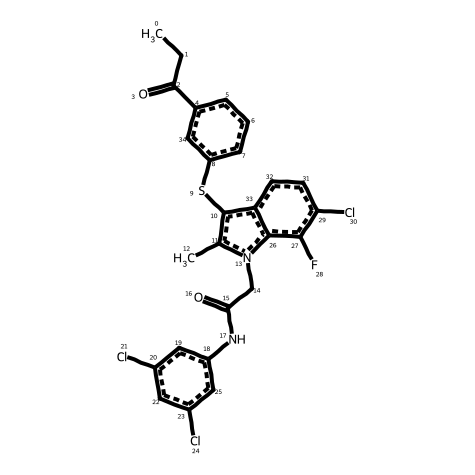 CCC(=O)c1cccc(Sc2c(C)n(CC(=O)Nc3cc(Cl)cc(Cl)c3)c3c(F)c(Cl)ccc23)c1